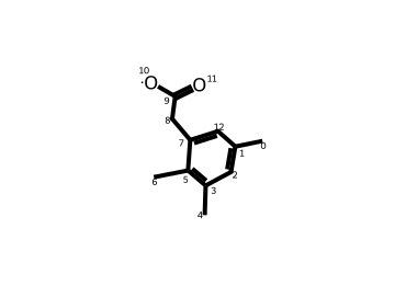 Cc1cc(C)c(C)c(CC([O])=O)c1